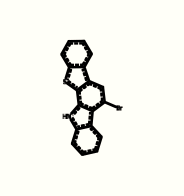 Brc1cc2c3ccccc3sc2c2[nH]c3ccccc3c12